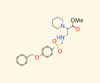 COC(=O)C(CNCS(=O)(=O)c1ccc(OCc2ccccc2)cc1)N1CCCCC1